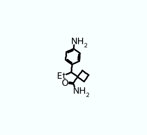 CCC(c1ccc(N)cc1)C1(C(N)=O)CCC1